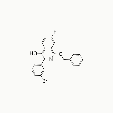 Oc1c(-c2cccc(Br)c2)nc(OCc2ccccc2)c2cc(F)ccc12